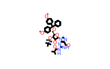 COc1ccc(C(OC[C@H]2O[C@@H](n3cnc4c(=O)[nH]c(NC(=O)C(C)C)nc43)C(=O)[C@@H]2O[Si](C)(C)C(C)(C)C)(c2ccccc2)c2ccc(OC)cc2)cc1